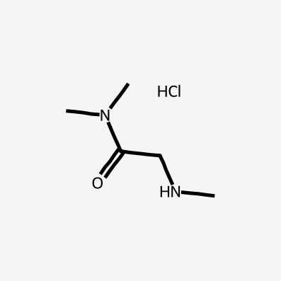 CNCC(=O)N(C)C.Cl